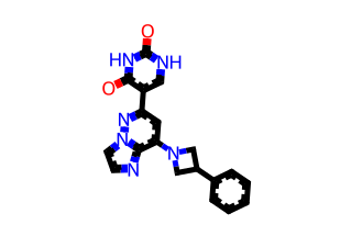 O=c1[nH]cc(-c2cc(N3CC(c4ccccc4)C3)c3nccn3n2)c(=O)[nH]1